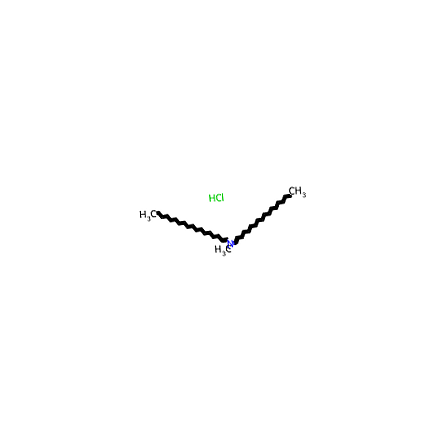 CCCCCCCCCCCCCCCCC=CN(C)C=CCCCCCCCCCCCCCCCC.Cl